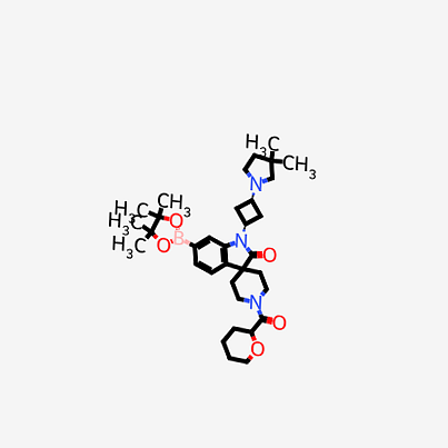 CC1(C)CCN([C@H]2C[C@@H](N3C(=O)C4(CCN(C(=O)C5CCCCO5)CC4)c4ccc(B5OC(C)(C)C(C)(C)O5)cc43)C2)C1